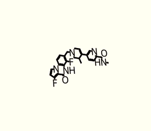 CNC(=O)c1ccc(C2=CCN(Cc3ccc4c([nH]c(=O)c5c(F)ccn54)c3F)CC2C)cn1